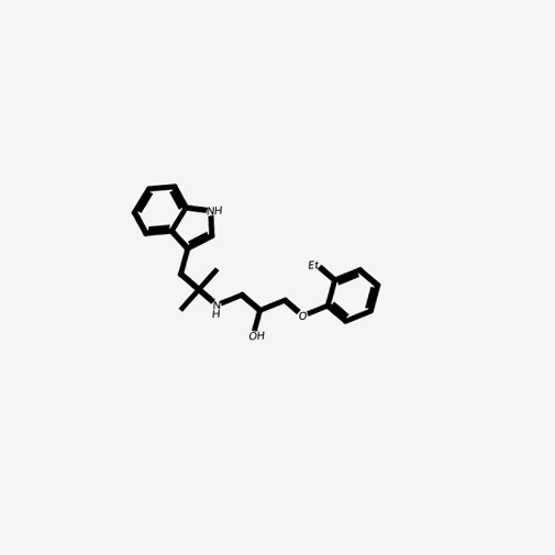 CCc1ccccc1OCC(O)CNC(C)(C)Cc1c[nH]c2ccccc12